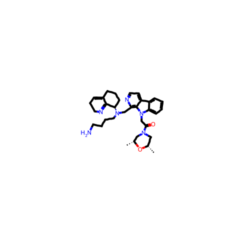 C[C@@H]1CN(C(=O)Cn2c3ccccc3c3ccnc(CN(CCCCN)[C@H]4CCCC5=CCCN=C54)c32)C[C@H](C)O1